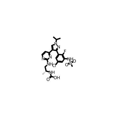 CC(C)n1cc(-c2ccnc(NC[C@@H](C)NC(=O)O)n2)c(-c2cc(Cl)cc(NS(C)(=O)=O)c2F)n1